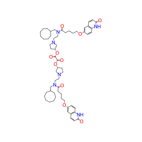 O=C(OC1CCN(CCN(CC2CCCCCCC2)C(=O)CCCCOc2ccc3[nH]c(=O)ccc3c2)C1)C(=O)OC1CCN(CCN(CC2CCCCCCC2)C(=O)CCCCOc2ccc3[nH]c(=O)ccc3c2)C1